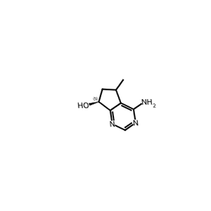 CC1C[C@H](O)c2ncnc(N)c21